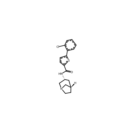 O=C(N[C@@H]1C[C@@H]2CCN(C2)C1)c1ccc(-c2ccccc2Cl)s1